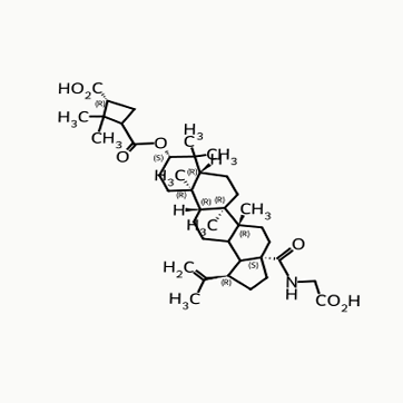 C=C(C)[C@@H]1CC[C@]2(C(=O)NCC(=O)O)CC[C@]3(C)C(CC[C@@H]4[C@@]5(C)CC[C@H](OC(=O)C6C[C@@H](C(=O)O)C6(C)C)C(C)(C)[C@@H]5CC[C@]43C)C12